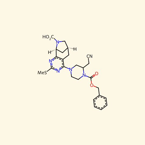 CSc1nc2c(c(N3CCN(C(=O)OCc4ccccc4)C(CC#N)C3)n1)C[C@H]1C[C@@H]2N(C(=O)O)C1